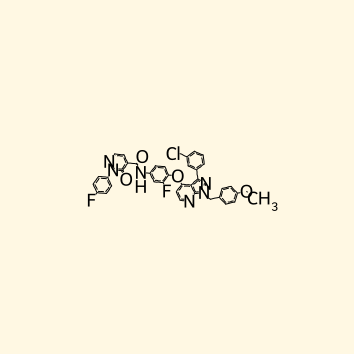 COc1ccc(Cn2nc(-c3cccc(Cl)c3)c3c(Oc4ccc(NC(=O)c5ccnn(-c6ccc(F)cc6)c5=O)cc4F)ccnc32)cc1